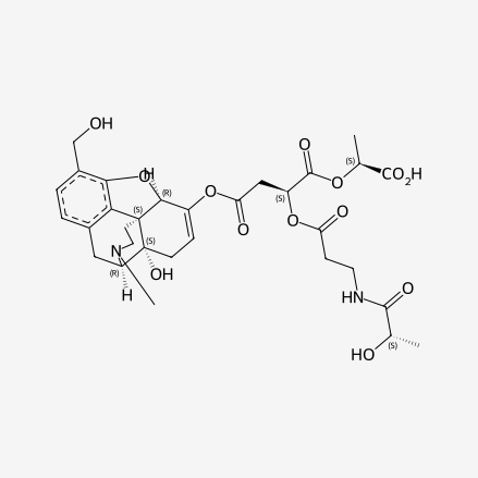 C[C@H](O)C(=O)NCCC(=O)O[C@@H](CC(=O)OC1=CC[C@@]2(O)[C@H]3Cc4ccc(CO)c5c4[C@@]2(CCN3C)[C@H]1O5)C(=O)O[C@@H](C)C(=O)O